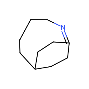 C1CCC2CCC(=NC1)CC2